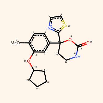 COc1ccc(C2(c3nccs3)CCNC(=O)O2)cc1OC1CCCC1